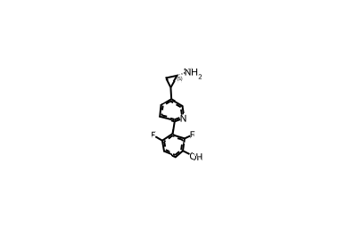 N[C@H]1CC1c1ccc(-c2c(F)ccc(O)c2F)nc1